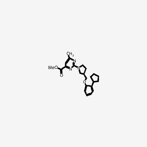 COC(=O)c1cc(C)nc(N2CCC(COc3ccccc3C3CCCC3)C2)n1